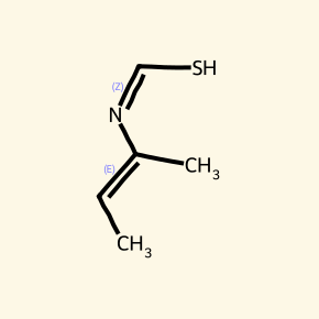 C/C=C(C)/N=C\S